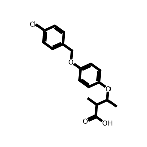 CC(Oc1ccc(OCc2ccc(Cl)cc2)cc1)C(C)C(=O)O